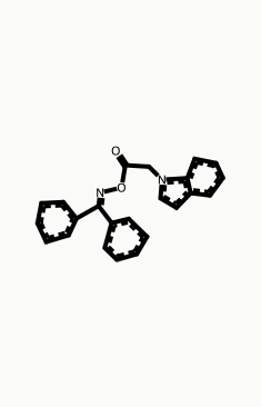 O=C(Cn1ccc2ccccc21)ON=C(c1ccccc1)c1ccccc1